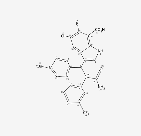 CC(C)(C)c1ccc(C(c2c[nH]c3c(C(=O)O)c(F)c(Cl)cc23)C(C(N)=O)c2cccc(C(F)(F)F)c2)nc1